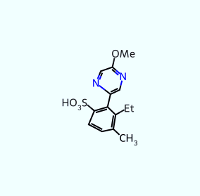 CCc1c(C)ccc(S(=O)(=O)O)c1-c1cnc(OC)cn1